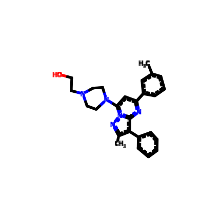 Cc1cccc(-c2cc(N3CCN(CCO)CC3)n3nc(C)c(-c4ccccc4)c3n2)c1